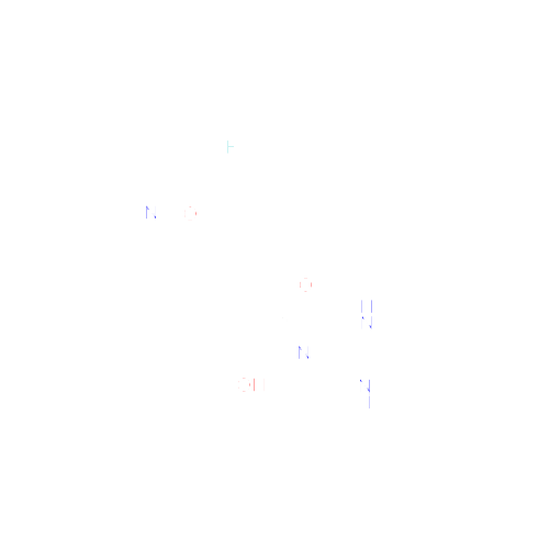 COc1c(F)cccc1-c1c(C#N)ccc(O)c1C(=O)N=C1NCCN1